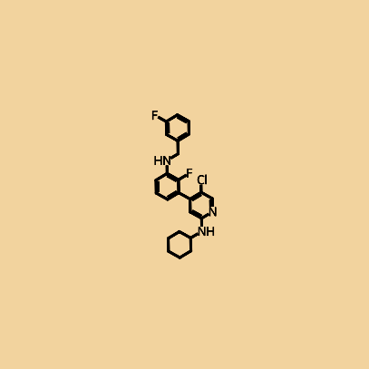 Fc1cccc(CNc2cccc(-c3cc(NC4CCCCC4)ncc3Cl)c2F)c1